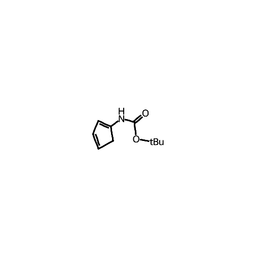 CC(C)(C)OC(=O)NC1=CC=CC1